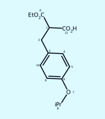 CCOC(=O)C(Cc1ccc(OC(C)C)cc1)C(=O)O